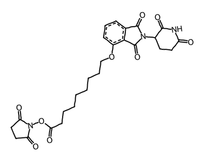 O=C1CCC(N2C(=O)c3cccc(OCCCCCCCCC(=O)ON4C(=O)CCC4=O)c3C2=O)C(=O)N1